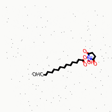 O=[C]CCCCCCCCCCCCC(=O)O[N+]1(O)C(=O)CCC1=O